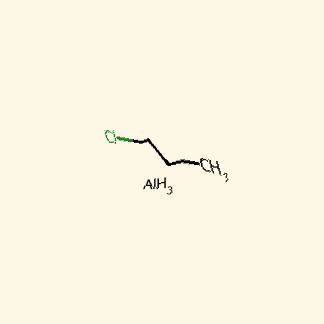 CCCCl.[AlH3]